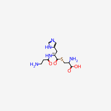 NCCC(=O)N[C@@H](Cc1cnc[nH]1)C(=O)SCC(N)C(=O)O